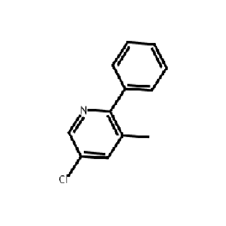 Cc1cc(Cl)cnc1-c1ccccc1